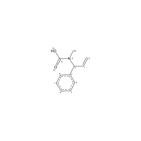 C=CC(c1ccccc1)N(C)C(=O)O